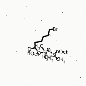 CCCCCCCCOC(CCCCCBr)O[Si](C)(C)O[Si](C)(C)CCCCCCCC